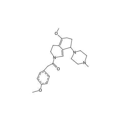 COC1=C2CCN(C(=O)Cc3ccc(OC)cc3)C=C2C(N2CCN(C)CC2)CC1